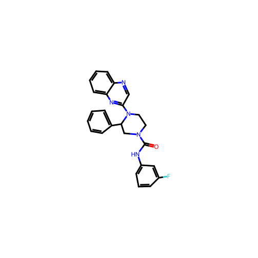 O=C(Nc1cccc(F)c1)N1CCN(c2cnc3ccccc3n2)C(c2ccccc2)C1